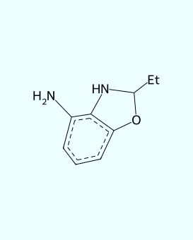 CCC1Nc2c(N)cccc2O1